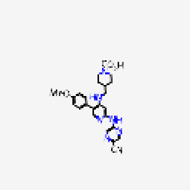 COc1ccc(-c2cnc(Nc3cnc(C#N)cn3)cc2NCC2CCN(C(=O)O)CC2)cc1